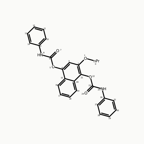 CCCOc1cc(OC(=O)Nc2ccccc2)c2ccccc2c1OC(=O)Nc1ccccc1